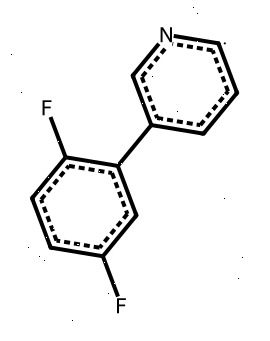 Fc1ccc(F)c(-c2cc[c]nc2)c1